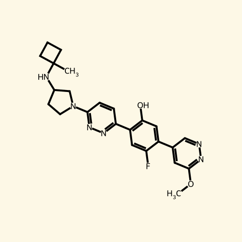 COc1cc(-c2cc(O)c(-c3ccc(N4CCC(NC5(C)CCC5)C4)nn3)cc2F)cnn1